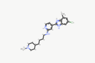 Cc1cc(Cl)cc2[nH]c(-c3ccnc(NCCCCC4CCN(C)CC4)c3)nc12